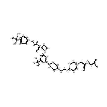 CC(C)COC(=O)CN1CCC(CCCC2CCN(c3cc(N4CC[C@H]4C(=O)NCCc4ccc(C(F)(F)F)cc4)nc(C(F)(F)F)n3)CC2)CC1